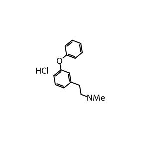 CNCCc1cccc(Oc2ccccc2)c1.Cl